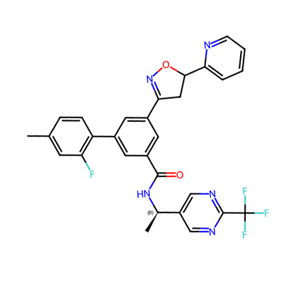 Cc1ccc(-c2cc(C(=O)N[C@H](C)c3cnc(C(F)(F)F)nc3)cc(C3=NOC(c4ccccn4)C3)c2)c(F)c1